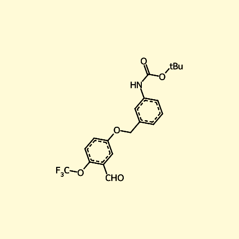 CC(C)(C)OC(=O)Nc1cccc(COc2ccc(OC(F)(F)F)c(C=O)c2)c1